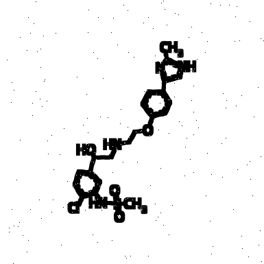 Cc1nc(-c2ccc(OCCNCC(O)c3ccc(Cl)c(NS(C)(=O)=O)c3)cc2)c[nH]1